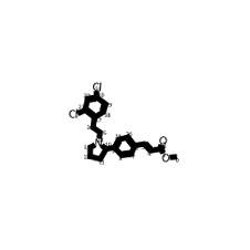 COC(=O)/C=C/c1ccc(C2CCCN2CCc2ccc(Cl)cc2Cl)cc1